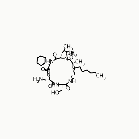 CCCCCCN1CCNC(=O)[C@H](CO)NC(=O)[C@H](CN)NC(=O)[C@H](C2CCCCC2)NC(=O)[C@H](CC(C)C)N(C)C(=O)[C@@H]1C